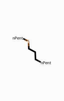 CCCCCCCCSCCCCC